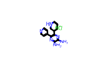 Cl.Nc1nc(-c2ccncc2)c(C2CCCNC2)nc1N